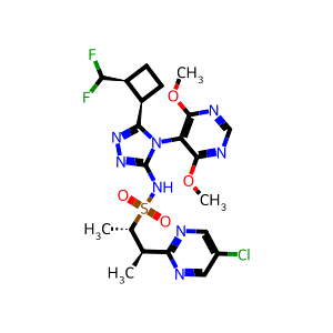 COc1ncnc(OC)c1-n1c(NS(=O)(=O)[C@@H](C)[C@H](C)c2ncc(Cl)cn2)nnc1[C@@H]1CC[C@@H]1C(F)F